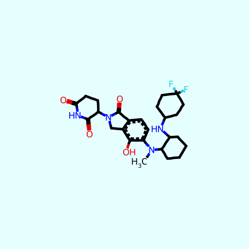 CN(c1ccc2c(c1O)CN(C1CCC(=O)NC1=O)C2=O)C1CCCCC1NC1CCC(F)(F)CC1